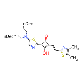 CCCCCCCCCCCC[N+](CCCCCCCCCCCC)=C1C=N/C(=C2/C(=O)C(/C=C/c3nc(C)c(C)s3)=C2O)S1